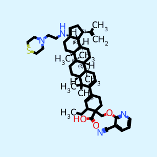 C=C(C)[C@@H]1CC[C@]2(NCCN3CCSCC3)CC[C@]3(C)[C@H](CC[C@@H]4[C@@]5(C)CC=C(C6=CC(CC)C(COc7ncccc7C#N)(C(=O)O)CC6)C(C)(C)[C@@H]5CC[C@]43C)[C@@H]12